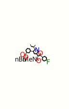 CC=C(C)c1nc2oc(-c3ccc(F)cc3)c(C(=O)NC)c2cc1-c1cccc(C(=O)OCCCC)c1